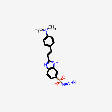 CN(C)c1ccc(/C=C/c2nc3ccc(S(=O)(=O)N=[N+]=[N-])cc3[nH]2)cc1